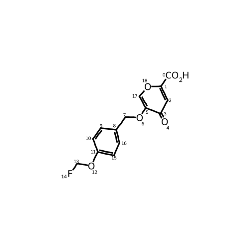 O=C(O)c1cc(=O)c(OCc2ccc(OCF)cc2)co1